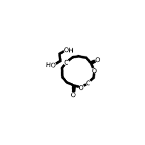 O=C1CCCCCCCC(=O)OCCO1.OCCO